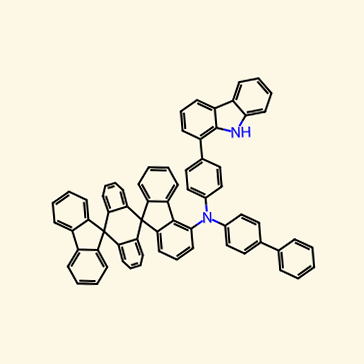 c1ccc(-c2ccc(N(c3ccc(-c4cccc5c4[nH]c4ccccc45)cc3)c3cccc4c3-c3ccccc3C43c4ccccc4C4(c5ccccc5-c5ccccc54)c4ccccc43)cc2)cc1